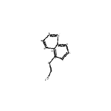 [O]CCc1cccc2ncccc12